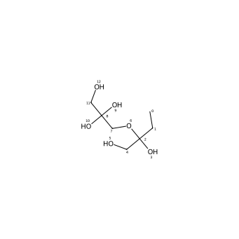 CCC(O)(CO)OCC(O)(O)CO